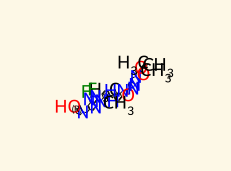 Cc1c(NC(=O)c2cc3n(n2)CCN(CC(=O)OC(C)(C)C)C3)cccc1-c1cccc(Nc2nc(C(F)F)nc3cc(CN4CC[C@@H](O)C4)cnc23)c1C